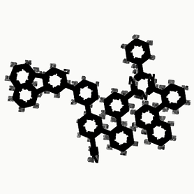 N#Cc1ccc(-c2cccc(-c3ccc4c(c3)-c3cccc5cccc-4c35)c2)cc1-c1ccccc1-c1cccc(-c2nc(-c3ccccc3)nc(-c3ccccc3-c3cccc4ccccc34)n2)c1